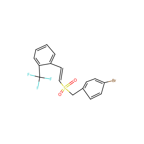 O=S(=O)(/C=C/c1ccccc1C(F)(F)F)Cc1ccc(Br)cc1